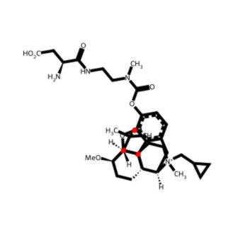 CO[C@]12CC[C@@]3(C[C@@H]1C(C)(C)O)[C@H]1Cc4ccc(OC(=O)N(C)CCNC(=O)[C@@H](N)CC(=O)O)c5c4[C@@]3(CC[N+]1(C)CC1CC1)[C@H]2O5